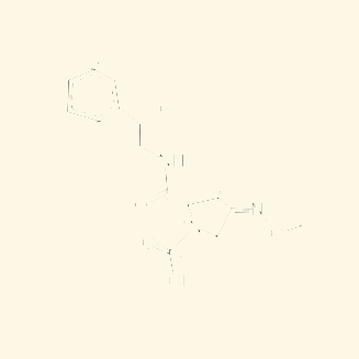 CON=C1C[C@@H](C(=O)NC[C@@H](O)c2ccccc2)N(C(=O)O)C1